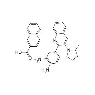 CC1CCCN1c1cc2ccccc2nc1-c1ccc(N)c(N)c1.O=C(O)c1ccc2ncccc2c1